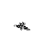 CCC(C(=O)Nc1ccc2nn(C)cc2c1)n1cc(OC)c(-c2cc(Cl)ccc2-n2cc(Cl)nn2)cc1=O